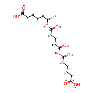 O=C(O)CCCCC(=O)OC(=O)CCCC(=O)OC(=O)CCCCC(=O)O